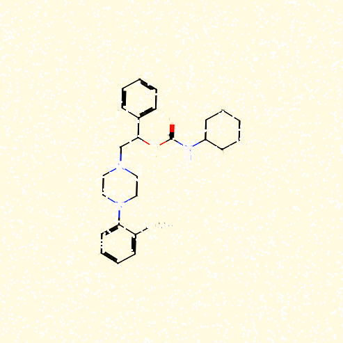 COc1ccccc1N1CCN(CC(OC(=O)NC2CCCCC2)c2ccccc2)CC1